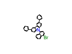 Brc1ccc(-n2c3ccc(-c4ccccc4)cc3c3cc(-c4ccccc4)ccc32)c2ccccc12